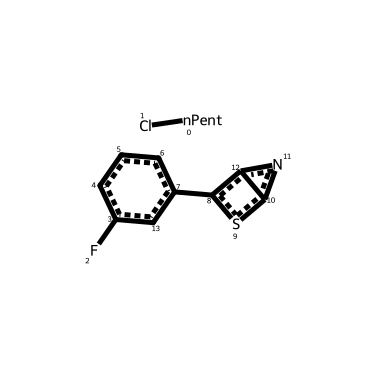 CCCCCCl.Fc1cccc(-c2sc3nc2-3)c1